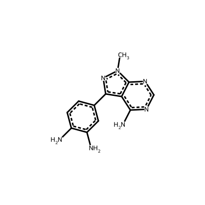 Cn1nc(-c2ccc(N)c(N)c2)c2c(N)ncnc21